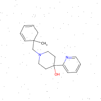 CC1(CN2CCC(O)(c3ccccn3)CC2)C=CC=CC1